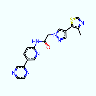 Cc1ncsc1-c1cnn(CC(=O)Nc2ccc(-c3cnccn3)cn2)c1